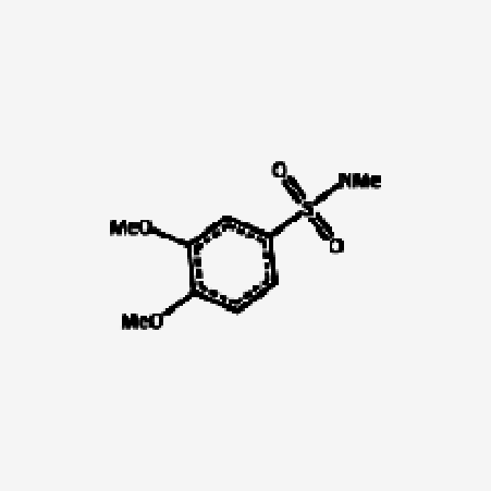 CNS(=O)(=O)c1ccc(OC)c(OC)c1